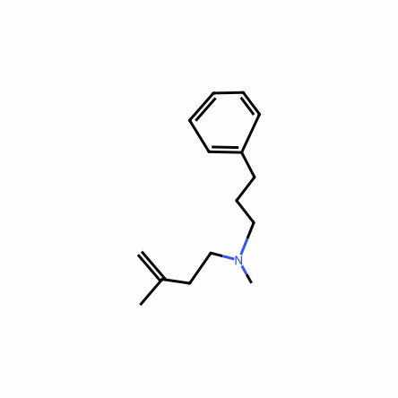 C=C(C)CCN(C)CCCc1ccccc1